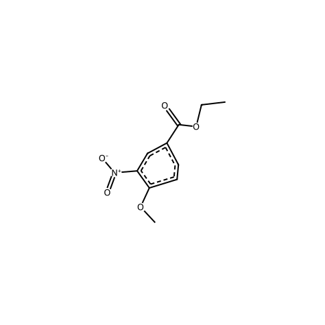 CCOC(=O)c1ccc(OC)c([N+](=O)[O-])c1